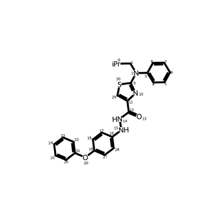 CC(C)CN(c1ccccc1)c1nc(C(=O)NNc2ccc(Oc3ccccc3)cc2)cs1